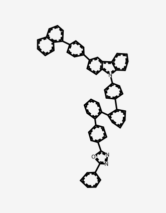 c1ccc(-c2nnc(-c3ccc(-c4ccccc4-c4ccccc4-c4ccc(-n5c6ccccc6c6cc(-c7ccc(-c8cccc9ccccc89)cc7)ccc65)cc4)cc3)o2)cc1